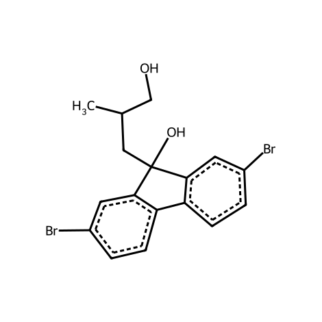 CC(CO)CC1(O)c2cc(Br)ccc2-c2ccc(Br)cc21